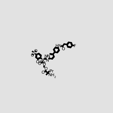 COc1cc(S(C)(=O)=O)ccc1N(C(=O)OCOC(=O)C(C)(N)C(C)C)c1nc2ccc(-c3ccc(NC(=O)Cc4ccc(F)cc4)cc3)cn2n1